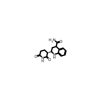 NC(=O)C1CC([C@@H]2CCC(=O)NC2=O)Nc2ccccc21